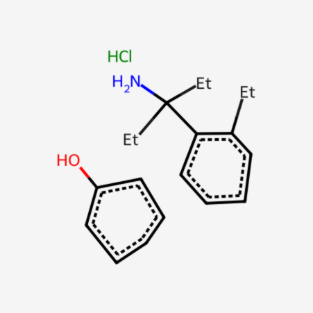 CCc1ccccc1C(N)(CC)CC.Cl.Oc1ccccc1